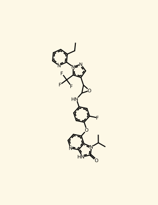 CCc1cccnc1-n1ncc(C2OC2Nc2ccc(Oc3ccnc4[nH]c(=O)n(C(C)C)c34)c(F)c2)c1C(F)(F)F